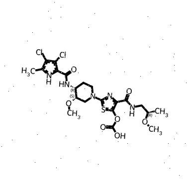 CO[C@H](C)CNC(=O)c1nc(N2CC[C@@H](NC(=O)c3[nH]c(C)c(Cl)c3Cl)[C@@H](OC)C2)sc1OC(=O)O